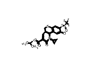 CC(C)OC(=O)c1cc2c(n(C3CC3)c1=O)-c1cc(Cl)c(OS(=O)C(F)(F)F)cc1SC2